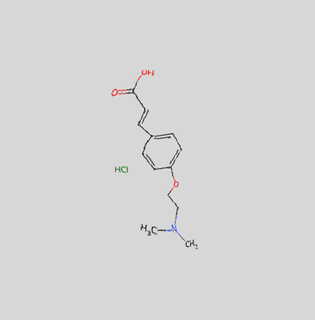 CN(C)CCOc1ccc(C=CC(=O)O)cc1.Cl